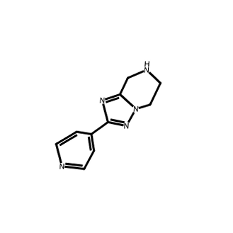 c1cc(-c2nc3n(n2)CCNC3)ccn1